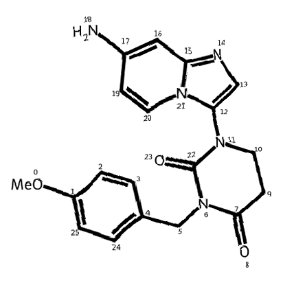 COc1ccc(CN2C(=O)CCN(c3cnc4cc(N)ccn34)C2=O)cc1